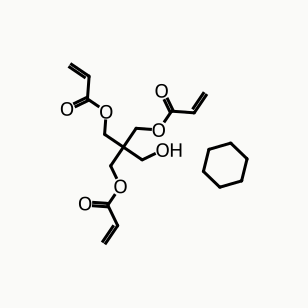 C1CCCCC1.C=CC(=O)OCC(CO)(COC(=O)C=C)COC(=O)C=C